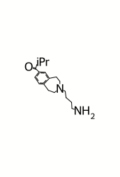 CC(C)C(=O)c1ccc2c(c1)CCN(CCCCN)CC2